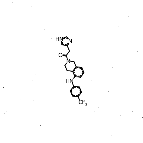 O=C(Cc1c[nH]cn1)N1CCc2c(cccc2Nc2ccc(C(F)(F)F)cc2)C1